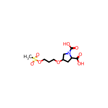 CS(=O)(=O)OCCCOC1CC(C(=O)O)N(C(=O)O)C1